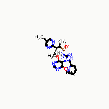 COc1ncnc(OC)c1-n1c(N[S+]([O-])C(C)C(C)c2ncc(C)cn2)nnc1-c1ccccn1